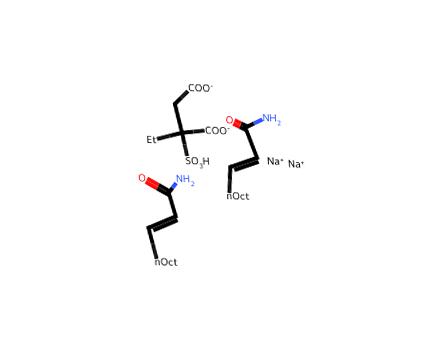 CCC(CC(=O)[O-])(C(=O)[O-])S(=O)(=O)O.CCCCCCCCC=CC(N)=O.CCCCCCCCC=CC(N)=O.[Na+].[Na+]